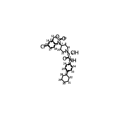 Cl.O=C(CN1CCC(N2C(=O)OCc3cc(Cl)ccc32)CC1)Nc1ccc(C2CCCCC2)cc1